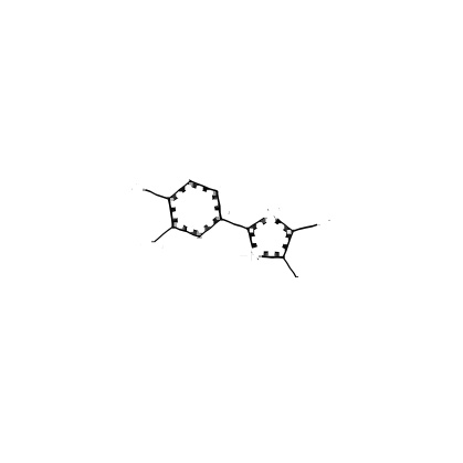 Clc1ccc(-c2nc(I)c(I)[nH]2)cc1Cl